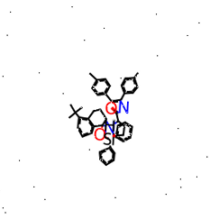 Cc1ccc(-c2nc(C3CCCN3C3(O[SiH](c4ccccc4)c4ccccc4)CCCc4c(C(C)(C)C)cccc43)oc2-c2ccc(C)cc2)cc1